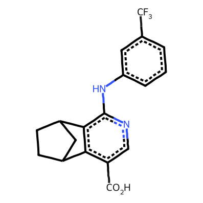 O=C(O)c1cnc(Nc2cccc(C(F)(F)F)c2)c2c1C1CCC2C1